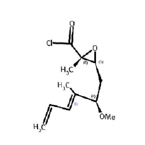 C=C/C=C(\C)[C@@H](C[C@@H]1O[C@@]1(C)C(=O)Cl)OC